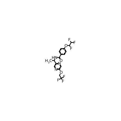 CC(NC(=O)c1ccc(OC(F)C(F)F)cc1)c1cnc(OCC(F)(F)F)cn1